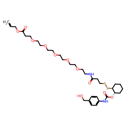 C=CCOC(=O)CCOCCOCCOCCOCCOCCNC(=O)CCSS[C@H]1CCCC[C@@H]1OC(=O)Nc1ccc(CO)cc1